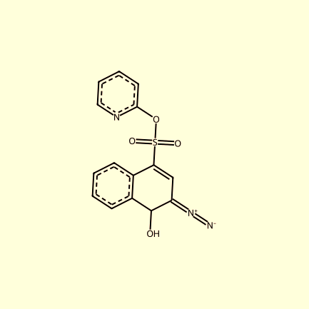 [N-]=[N+]=C1C=C(S(=O)(=O)Oc2ccccn2)c2ccccc2C1O